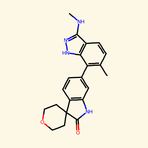 CNc1n[nH]c2c(-c3ccc4c(c3)NC(=O)C43CCOCC3)c(C)ccc12